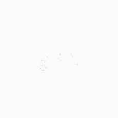 COC(=O)C[C@H](NC(=O)C[C@H](C)CNC(=O)c1ccc2ccccc2n1)C(=O)COc1c(F)cccc1F